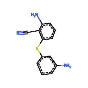 N#Cc1c(N)cccc1Sc1cccc(N)c1